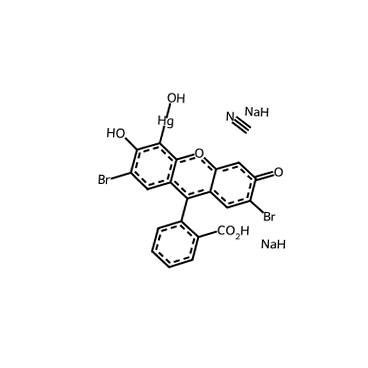 C#N.O=C(O)c1ccccc1-c1c2cc(Br)c(=O)cc-2oc2[c]([Hg][OH])c(O)c(Br)cc12.[NaH].[NaH]